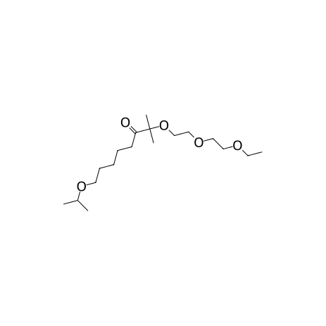 CCOCCOCCOC(C)(C)C(=O)CCCCCOC(C)C